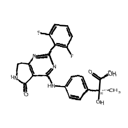 C[C@@](O)(C(=O)O)c1ccc(Nc2nc(-c3c(F)cccc3F)nc3c2C(=O)NC3)cc1